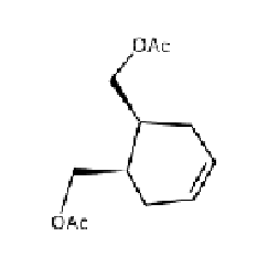 CC(=O)OC[C@H]1CC=CC[C@H]1COC(C)=O